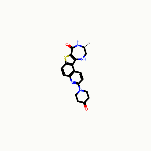 C[C@@H]1CNc2c(sc3ccc4nc(N5CCC(=O)CC5)ccc4c23)C(=O)N1